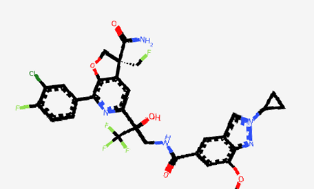 COc1cc(C(=O)NCC(O)(c2cc3c(c(-c4ccc(F)c(Cl)c4)n2)OC[C@@]3(CF)C(N)=O)C(F)(F)F)cc2cn(C3CC3)nc12